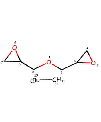 C(OCC1CO1)C1CO1.CC(C)(C)C